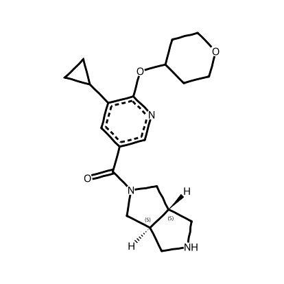 O=C(c1cnc(OC2CCOCC2)c(C2CC2)c1)N1C[C@@H]2CNC[C@H]2C1